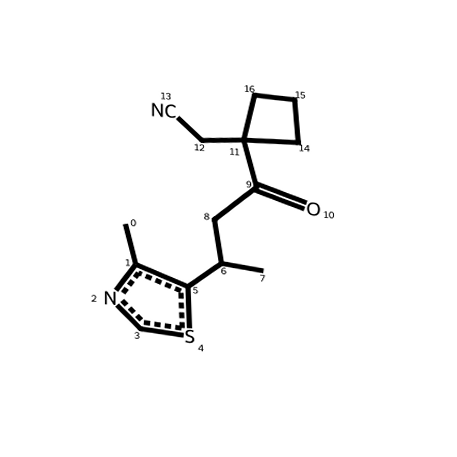 Cc1ncsc1C(C)CC(=O)C1(CC#N)CCC1